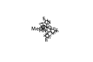 C#Cc1c(F)cncc1NC(=O)C(NC(=O)OC)C(c1ccc(F)cc1)c1ccc(F)cc1